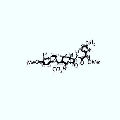 CO/N=C(\C(=O)N[C@@H]1C(=O)N2C(C(=O)O)=C(CN3C=CN4NC(OC)=CC=C34)CS[C@@H]12)c1nsc(N)n1